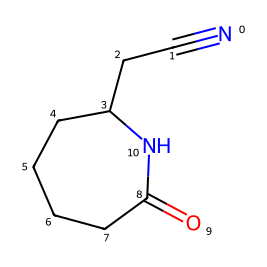 N#CCC1CCCCC(=O)N1